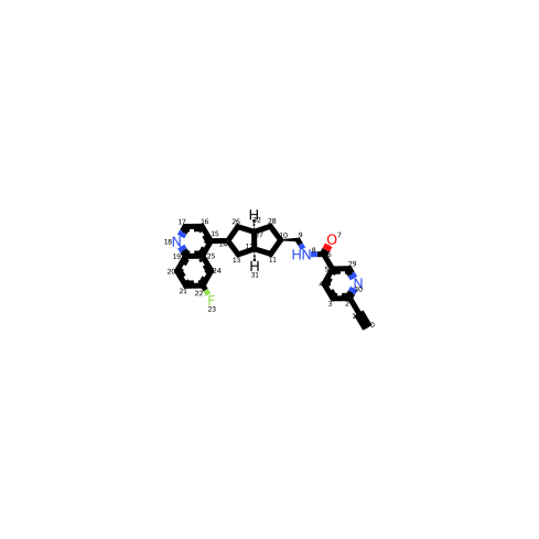 C#Cc1ccc(C(=O)NC[C@H]2C[C@H]3CC(c4ccnc5ccc(F)cc45)C[C@H]3C2)cn1